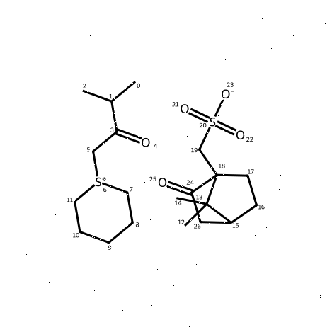 CC(C)C(=O)C[S+]1CCCCC1.CC1(C)C2CCC1(CS(=O)(=O)[O-])C(=O)C2